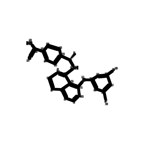 C[C@H](Nc1nccc2ccnc(Oc3cc(F)cc(F)c3)c12)c1ccc(C(=O)O)cc1